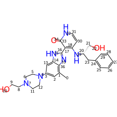 Cc1cc(N2CCN(CCO)CC2)cc2[nH]c(-c3c(N[C@H](CO)Cc4ccccc4)cc[nH]c3=O)nc12